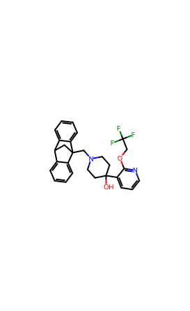 OC1(c2cccnc2OCC(F)(F)F)CCN(CC23CC(c4ccccc42)c2ccccc23)CC1